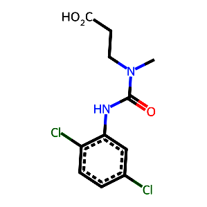 CN(CCC(=O)O)C(=O)Nc1cc(Cl)ccc1Cl